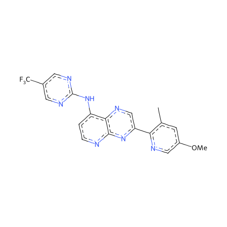 COc1cnc(-c2cnc3c(Nc4ncc(C(F)(F)F)cn4)ccnc3n2)c(C)c1